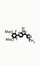 COc1cc(OC)c(F)c(-c2ccc3c(-c4cnn(C)c4)n[nH]c3n2)c1F